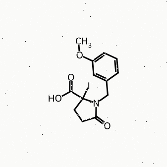 COc1cccc(CN2C(=O)CCC2(I)C(=O)O)c1